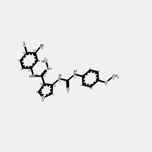 COc1ccc(NC(=O)Nc2cocc2/C(=N/O)Nc2ccc(F)c(Br)c2)cc1